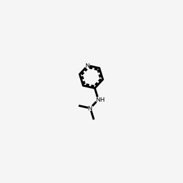 CN(C)Nc1ccncc1